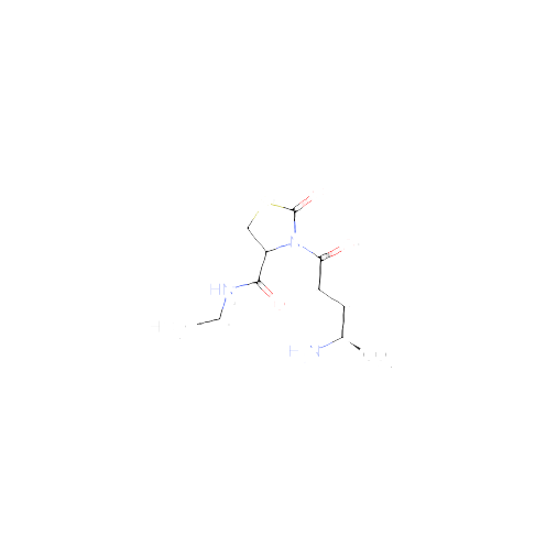 N[C@@H](CCC(=O)N1C(=O)SCC1C(=O)NCC(=O)O)C(=O)O